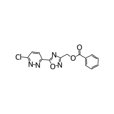 O=C(OCc1noc(-c2ccc(Cl)nn2)n1)c1ccccc1